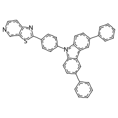 c1ccc(-c2ccc3c(c2)c2cc(-c4ccccc4)ccc2n3-c2ccc(-c3nc4ccncc4s3)cc2)cc1